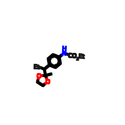 CCOC(=O)Nc1ccc(C(CC)C2(C)OCCO2)cc1